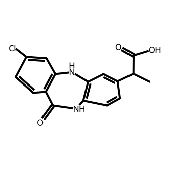 CC(C(=O)O)c1ccc2c(c1)Nc1cc(Cl)ccc1C(=O)N2